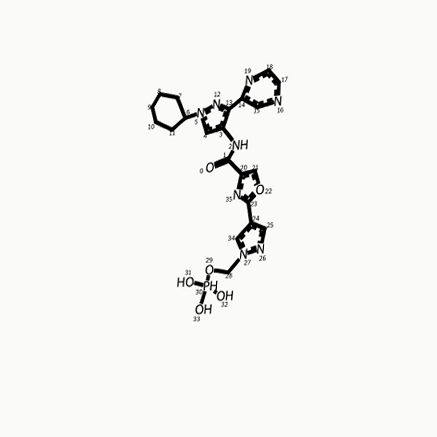 O=C(Nc1cn(C2CCCCC2)nc1-c1cnccn1)c1coc(-c2cnn(CO[PH](O)(O)O)c2)n1